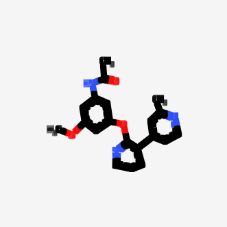 COc1cc(NC(C)=O)cc(Oc2ncccc2-c2ccnc(C)c2)c1